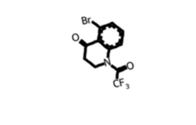 O=C1CCN(C(=O)C(F)(F)F)c2cccc(Br)c21